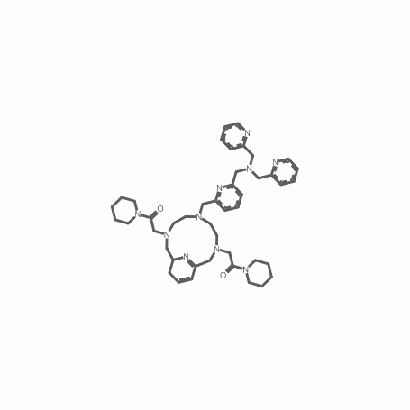 O=C(CN1CCN(Cc2cccc(CN(Cc3ccccn3)Cc3ccccn3)n2)CCN(CC(=O)N2CCCCC2)CC2CC=CC(=N2)C1)N1CCCCC1